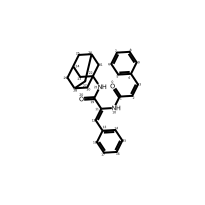 O=C(/C=C\c1ccccc1)N/C(=C\c1ccccc1)C(=O)NC12CC3CC(CC(C3)C1)C2